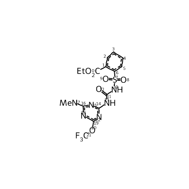 CCOC(=O)c1ccccc1S(=O)(=O)NC(=O)Nc1nc(NC)nc(OC(F)(F)F)n1